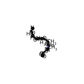 C/C(=N\NC(=O)CC(C)(C)SSCCC(=O)N1CCN(C2CCN(C(=O)NCc3ccc(NC(=O)[C@H]4C[C@@H]4c4cccnc4)cc3F)CC2)CC1)c1cnc(OCCCC(=O)ON2C(=O)CCC2=O)nc1